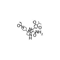 C=CC(=O)N1CCC(C2CCNc3c(C(N)=O)c(-c4cc(OC)c(C(C)C)c(OC)c4)nn32)CC1